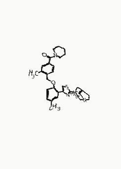 Cc1ccc(OCc2ccc(C(=O)N3CCCCC3)cc2C)c(-c2csc(N3CC4CCN(C3)C4C)n2)c1